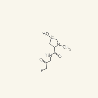 CN1C[C@H](O)CC1C(=O)NCC(=O)CF